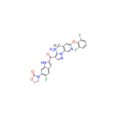 Cc1cc(Oc2c(F)cccc2F)ncc1-n1ncc(C(=O)c2cc3cc(F)c(N4CCOC4=O)cc3[nH]2)c1N